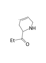 CCC(=O)C1C[C]=CCN1